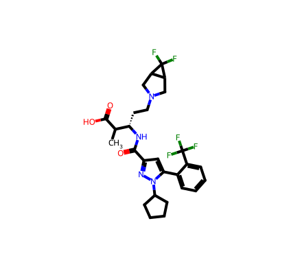 CC(C(=O)O)[C@H](CCN1CC2C(C1)C2(F)F)NC(=O)c1cc(-c2ccccc2C(F)(F)F)n(C2CCCC2)n1